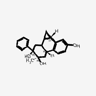 CC[C@@]12C[C@@](C)(O)[C@](O)(c3ccccc3)CC1C1C[C@@H]1c1cc(O)ccc12